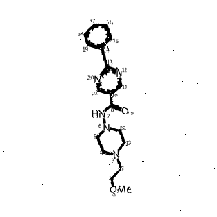 COCCN1CCN(NC(=O)c2cnc(-c3ccccc3)nc2)CC1